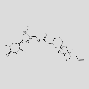 C=CCC(CC)[C@]1(C)C[C@]2(CCCC(OC(=O)OC[C@H]3O[C@@H](n4cc(C)c(=O)[nH]c4=O)C[C@@H]3F)C2)OO1